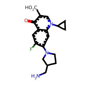 NCC1CCN(c2cc3c(cc2F)c(=O)c(C(=O)O)cn3C2CC2)C1